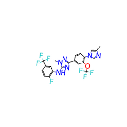 Cc1cn(-c2ccc(-c3nc(Nc4cc(C(F)(F)F)ccc4F)n(C)n3)cc2OC(F)(F)F)cn1